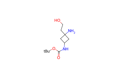 CC(C)(C)OC(=O)NC1CC(N)(CCO)C1